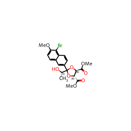 COC(=O)[C@@H]1OC(c2ccc3c(Br)c(OC)ccc3c2)([C@H](C)O)O[C@H]1C(=O)OC